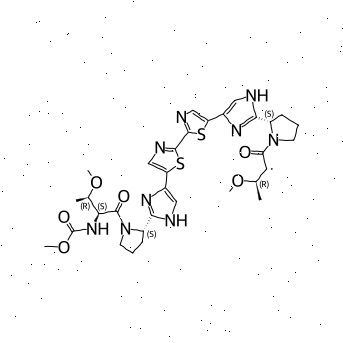 COC(=O)N[C@H](C(=O)N1CCC[C@H]1c1nc(-c2cnc(-c3ncc(-c4c[nH]c([C@@H]5CCCN5C(=O)[CH][C@@H](C)OC)n4)s3)s2)c[nH]1)[C@@H](C)OC